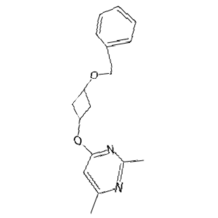 Cc1cc(OC2CC(OCc3ccccc3)C2)nc(C)n1